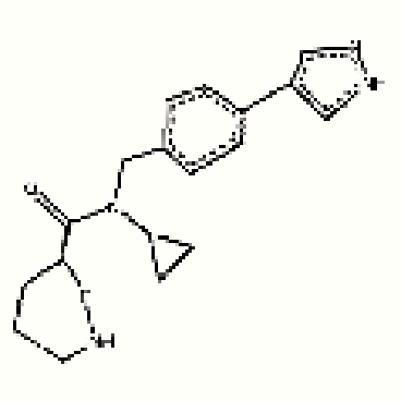 O=C([C@@H]1CCCNC1)N(Cc1ccc(-c2cn[nH]c2)cc1)C1CC1